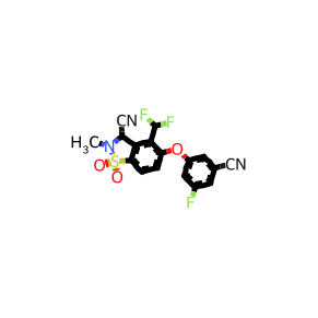 CN1C(C#N)c2c(ccc(Oc3cc(F)cc(C#N)c3)c2C(F)F)S1(=O)=O